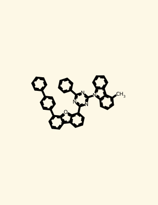 Cc1cccc2c1c1ccccc1n2-c1nc(-c2ccccc2)nc(-c2cccc3c2oc2c(-c4ccc(-c5ccccc5)cc4)cccc23)n1